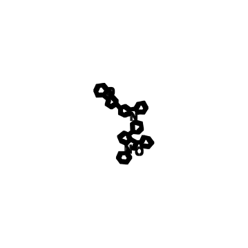 c1ccc(-n2c3cccc(-c4cccc(-n5c6ccccc6c6cc(-c7ccc8c(c7)oc7ccccc78)ccc65)c4)c3c3c4ccccc4oc32)cc1